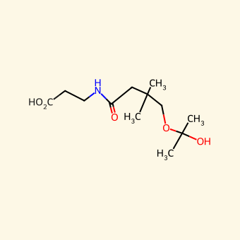 CC(C)(COC(C)(C)O)CC(=O)NCCC(=O)O